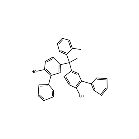 Cc1ccccc1C(C)(c1ccc(O)c(-c2ccccc2)c1)c1ccc(O)c(-c2ccccc2)c1